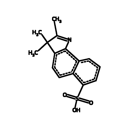 CC1=Nc2c(ccc3c(S(=O)(=O)O)cccc23)C1(C)C